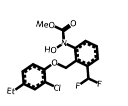 CCc1ccc(OCc2c(C(F)F)cccc2N(O)C(=O)OC)c(Cl)c1